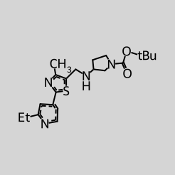 CCc1cc(-c2nc(C)c(CNC3CCN(C(=O)OC(C)(C)C)C3)s2)ccn1